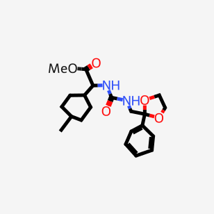 COC(=O)C(NC(=O)NCC1(c2ccccc2)OCCO1)C1CCC(C)CC1